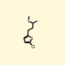 [CH2]C(CCc1ccc(Cl)s1)SC